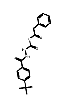 CC(C)(C)c1ccc(C(=O)NNC(=O)OC(=O)Cc2ccccc2)cc1